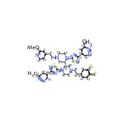 COc1cc(CCN2CCN(c3nc(-c4cnnc(C)c4)ns3)CC2)ccn1.Cc1cc(-c2nsc(N3CCN(CCc4ccc(F)c(F)c4)CC3)n2)cnn1